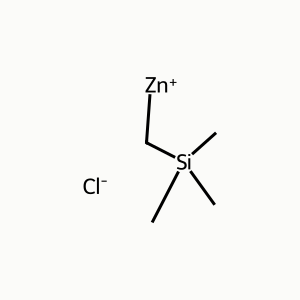 C[Si](C)(C)[CH2][Zn+].[Cl-]